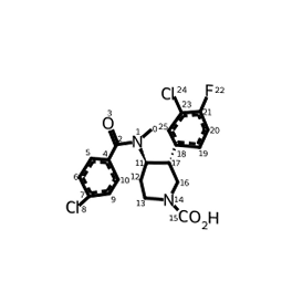 CN(C(=O)c1ccc(Cl)cc1)[C@@H]1CCN(C(=O)O)C[C@H]1c1ccc(F)c(Cl)c1